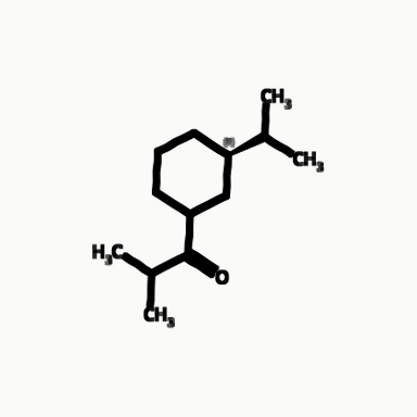 CC(C)C(=O)C1CCC[C@@H](C(C)C)C1